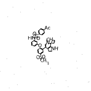 CC(=O)c1ccc(S(=O)(=O)Nc2cccc(Oc3ccc(S(C)(=O)=O)cc3-c3cn(C)c(=O)c4[nH]ccc34)c2)cc1